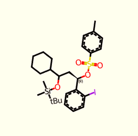 Cc1ccc(S(=O)(=O)O[C@H](CC(O[Si](C)(C)C(C)(C)C)C2CCCCC2)c2ccccc2I)cc1